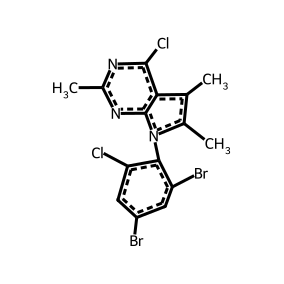 Cc1nc(Cl)c2c(C)c(C)n(-c3c(Cl)cc(Br)cc3Br)c2n1